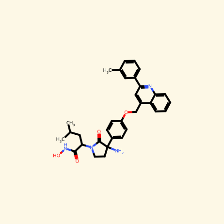 Cc1cccc(-c2cc(COc3ccc(C4(N)CCN(C(CC(C)C)C(=O)NO)C4=O)cc3)c3ccccc3n2)c1